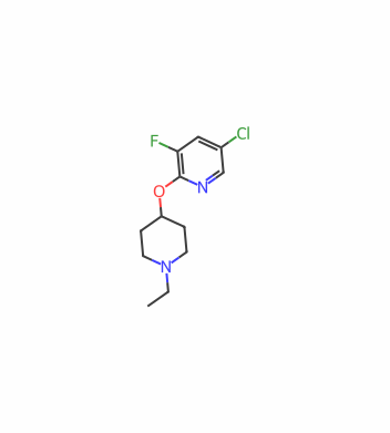 CCN1CCC(Oc2ncc(Cl)cc2F)CC1